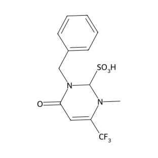 CN1C(C(F)(F)F)=CC(=O)N(Cc2ccccc2)C1S(=O)(=O)O